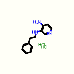 Cl.Cl.Nc1ccncc1NCCc1ccccc1